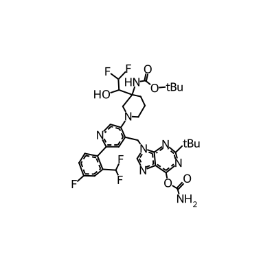 CC(C)(C)OC(=O)NC1(C(O)C(F)F)CCCN(c2cnc(-c3ccc(F)cc3C(F)F)cc2Cn2cnc3c(OC(N)=O)nc(C(C)(C)C)nc32)C1